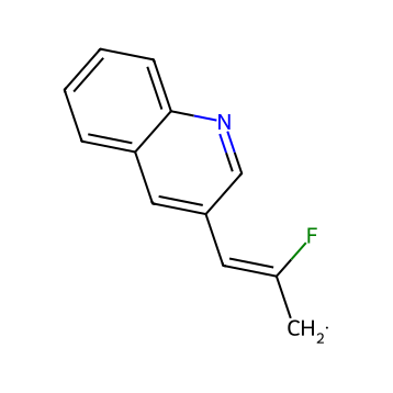 [CH2]/C(F)=C/c1cnc2ccccc2c1